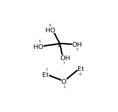 CCOCC.OC(O)(O)O